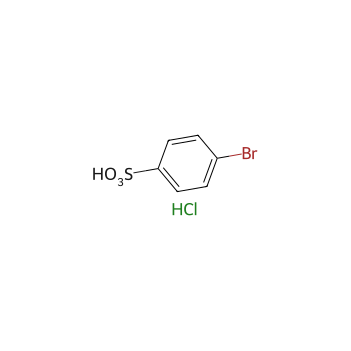 Cl.O=S(=O)(O)c1ccc(Br)cc1